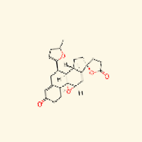 Cc1ccc([C@@H]2CC3=CC(=O)CC[C@]3(C)[C@@]34O[C@@H]3C[C@@]3(C)[C@@H](CC[C@@]35CCC(=O)O5)[C@H]24)o1